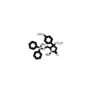 CCCCCCCCc1ccc(C2(C(=O)O)CC(=O)N(C(C)(C)C)C2CO[Si](c2ccccc2)(c2ccccc2)C(C)(C)C)cc1